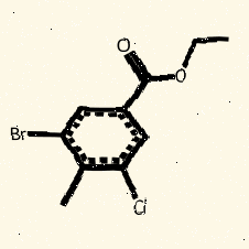 CCOC(=O)c1cc(Cl)c(C)c(Br)c1